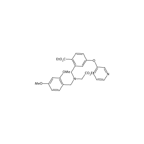 CCOC(=O)CN(Cc1ccc(OC)cc1OC)Cc1cc(Oc2cccnc2)ccc1C(=O)OCC